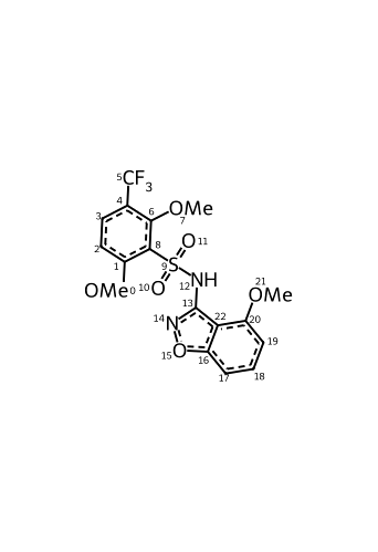 COc1ccc(C(F)(F)F)c(OC)c1S(=O)(=O)Nc1noc2cccc(OC)c12